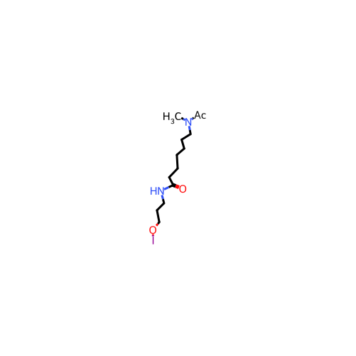 CC(=O)N(C)CCCCCCC(=O)NCCCOI